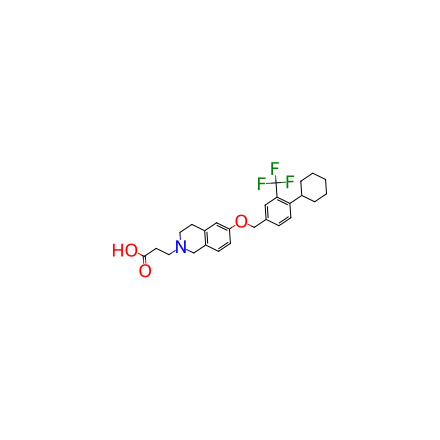 O=C(O)CCN1CCc2cc(OCc3ccc(C4CCCCC4)c(C(F)(F)F)c3)ccc2C1